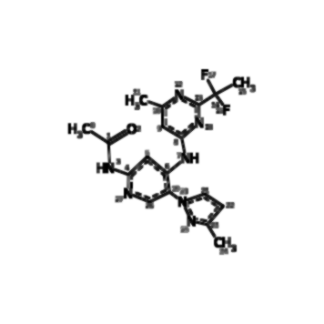 CC(=O)Nc1cc(Nc2cc(C)nc(C(C)(F)F)n2)c(-n2ccc(C)n2)cn1